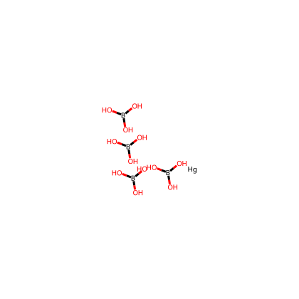 OB(O)O.OB(O)O.OB(O)O.OB(O)O.[Hg]